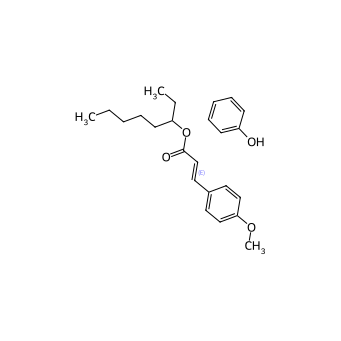 CCCCCC(CC)OC(=O)/C=C/c1ccc(OC)cc1.Oc1ccccc1